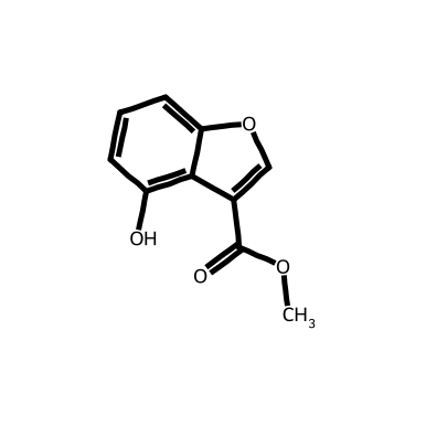 COC(=O)c1coc2cccc(O)c12